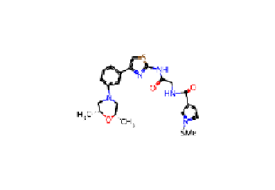 CSn1ccc(C(=O)NCC(=O)Nc2nc(-c3cccc(N4C[C@@H](C)O[C@@H](C)C4)c3)cs2)c1